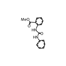 COC(=O)c1ccccc1NC(=O)Nc1ccccc1